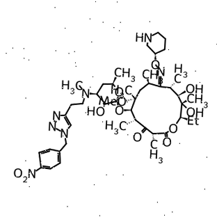 CC[C@H]1OC(=O)[C@H](C)C(=O)[C@H](C)[C@@H](O[C@@H]2O[C@H](C)C[C@H](N(C)CCc3cn(Cc4ccc([N+](=O)[O-])cc4)nn3)[C@H]2O)[C@](C)(OC)C[C@@H](C)/C(=N\O[C@@H]2CCCNC2)[C@H](C)[C@@H](O)[C@]1(C)O